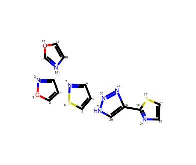 c1cnoc1.c1cnsc1.c1cocn1.c1csc(-c2c[nH]nn2)n1